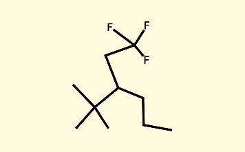 CCCC(CC(F)(F)F)C(C)(C)C